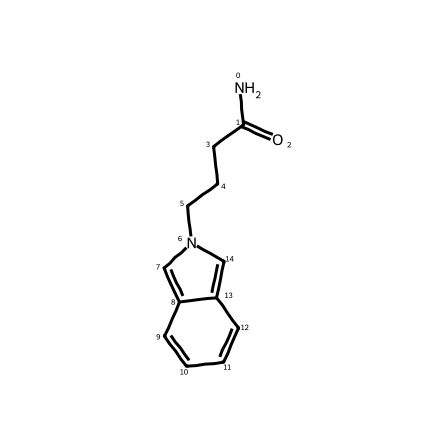 NC(=O)CCCn1cc2ccccc2c1